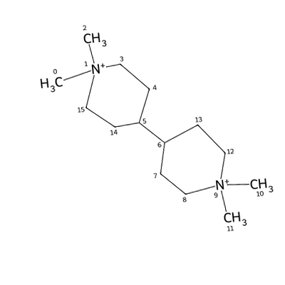 C[N+]1(C)CCC(C2CC[N+](C)(C)CC2)CC1